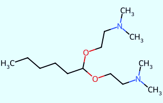 CCCCCC(OCCN(C)C)OCCN(C)C